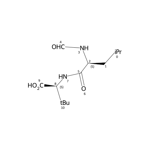 CC(C)C[C@H](NC=O)C(=O)N[C@H](C(=O)O)C(C)(C)C